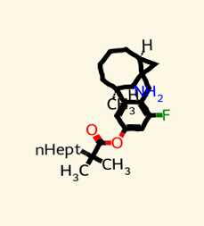 CCCCCCCC(C)(C)C(=O)Oc1cc(F)c2c(c1)[C@@]1(C)CCCC[C@H]3CC3(C2)[C@@H]1N